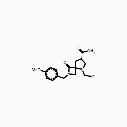 COc1ccc(CN2CC3(C[C@H](C(N)=O)CN3CC(C)C)C2=O)cc1